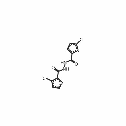 O=C(NNC(=O)c1sccc1Cl)c1ccc(Cl)s1